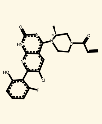 C=CC(=O)N1CCN(c2nc(=O)[nH]c3nc(-c4c(O)cccc4F)c(Cl)cc23)[C@@H](C)C1